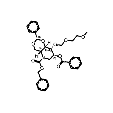 COCCOCO[C@H]1[C@@H]2O[C@H](c3ccccc3)OC[C@H]2N(C(=O)OCc2ccccc2)C[C@@H]1OC(=O)c1ccccc1